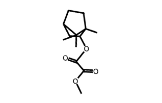 COC(=O)C(=O)OC1CC2CCC1(C)C2(C)C